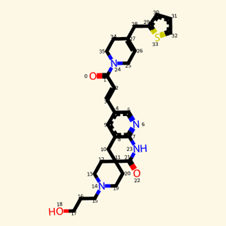 O=C(C=Cc1cnc2c(c1)CC1(CCN(CCCO)CC1)C(=O)N2)N1CC=C(Cc2cccs2)CC1